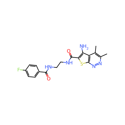 Cc1nnc2sc(C(=O)NCCNC(=O)c3ccc(F)cc3)c(N)c2c1C